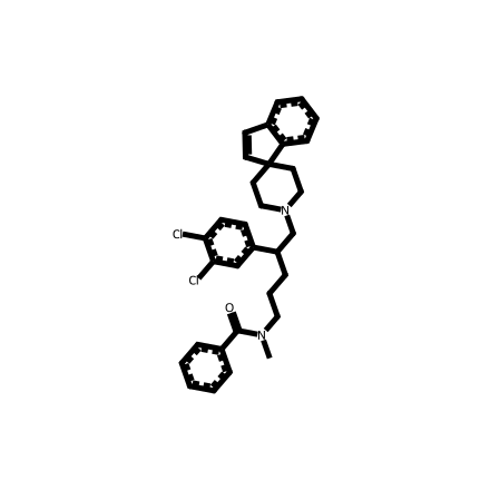 CN(CCCC(CN1CCC2(C=Cc3ccccc32)CC1)c1ccc(Cl)c(Cl)c1)C(=O)c1ccccc1